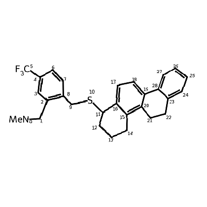 CNCc1cc(C(F)(F)F)ccc1CSC1CCCc2c1ccc1c2CCc2ccccc2-1